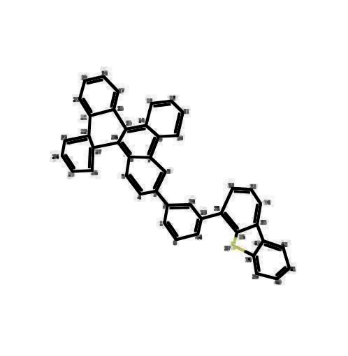 c1cc(-c2ccc3c(c2)c2ccccc2c2c4ccccc4c4ccccc4c32)cc(-c2cccc3c2sc2ccccc23)c1